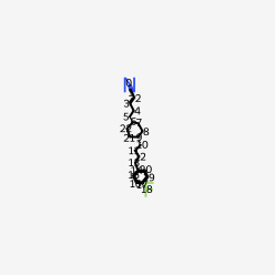 N#CC=CCC[C@H]1CC[C@H](CCCCc2ccc(F)cc2)CC1